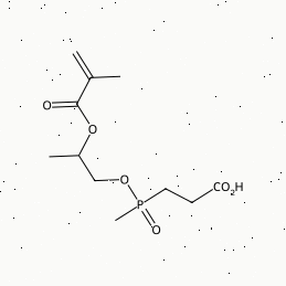 C=C(C)C(=O)OC(C)COP(C)(=O)CCC(=O)O